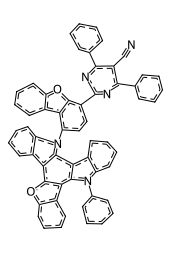 N#Cc1c(-c2ccccc2)nc(-c2ccc(-n3c4ccccc4c4c5oc6ccccc6c5c5c(c6ccccc6n5-c5ccccc5)c43)c3c2oc2ccccc23)nc1-c1ccccc1